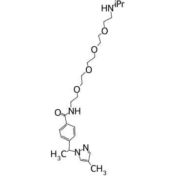 Cc1cnn(C(C)c2ccc(C(=O)NCCOCCOCCOCCOCCNC(C)C)cc2)c1